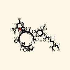 CC[C@H]1OC(=O)[C@H](C)[C@@H](O[C@H]2C[C@@](C)(OC)[C@@H](OC(=O)NCCN(CC)CC)[C@H](C)O2)C(C)[C@@H](O[C@@H]2O[C@H](C)C[C@H](N(C)C)[C@H]2O)[C@](C)(OC)C[C@@H](C)C(=O)N[C@H](C)[C@@H](O)[C@]1(C)O